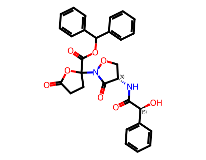 O=C1CCC(C(=O)OC(c2ccccc2)c2ccccc2)(N2OC[C@H](NC(=O)[C@@H](O)c3ccccc3)C2=O)O1